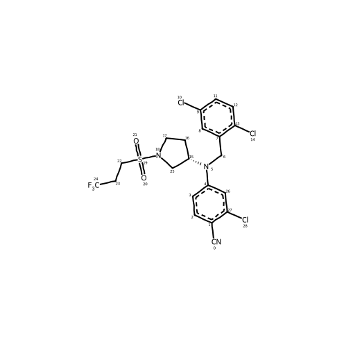 N#Cc1ccc(N(Cc2cc(Cl)ccc2Cl)[C@H]2CCN(S(=O)(=O)CCC(F)(F)F)C2)cc1Cl